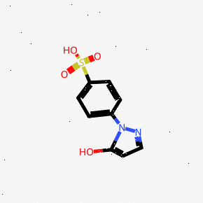 O=S(=O)(O)c1ccc(-n2nccc2O)cc1